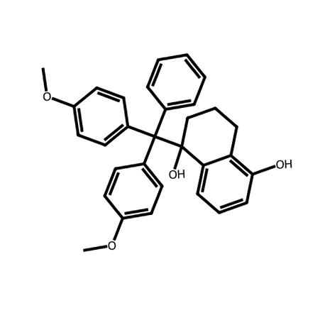 COc1ccc(C(c2ccccc2)(c2ccc(OC)cc2)C2(O)CCCc3c(O)cccc32)cc1